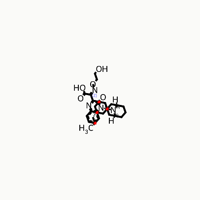 CCC[C@@H]1CCC[C@@H](N2[C@@H]3CCC[C@H]2C[C@@H](n2c(=O)c(/C(=N/OCCO)C(=O)O)nc4ccccc42)C3)C1